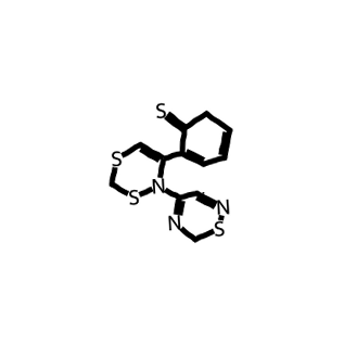 S=C1CC=CC=C1C1=CSCSN1C1=NCSN=[C]1